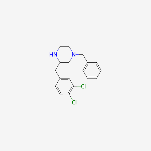 Clc1ccc(CC2CN(Cc3ccccc3)CCN2)cc1Cl